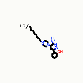 Nc1nnc(-c2ccccc2O)cc1N1CCN(CCCCCCCCC(=O)O)CC1